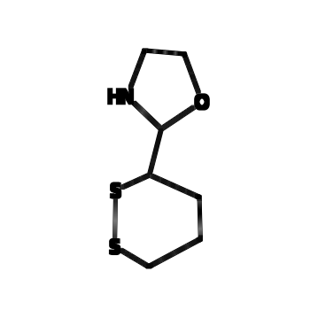 C1CSSC(C2NCCO2)C1